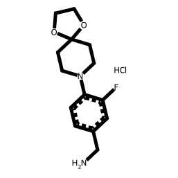 Cl.NCc1ccc(N2CCC3(CC2)OCCO3)c(F)c1